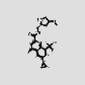 COC1CN[C@H](CNC(=O)c2cc(C)c3cc(C4CC4)cc(C(F)(F)F)c3n2)C1